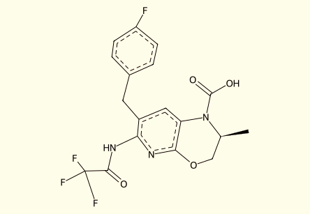 C[C@H]1COc2nc(NC(=O)C(F)(F)F)c(Cc3ccc(F)cc3)cc2N1C(=O)O